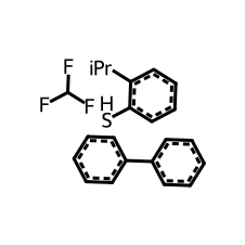 CC(C)c1ccccc1S.FC(F)F.c1ccc(-c2ccccc2)cc1